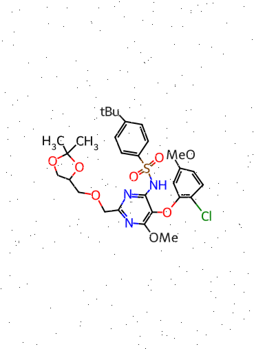 COc1ccc(Cl)c(Oc2c(NS(=O)(=O)c3ccc(C(C)(C)C)cc3)nc(COCC3COC(C)(C)O3)nc2OC)c1